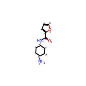 N[C@H]1CC[C@H](NC(=O)c2ccco2)CC1